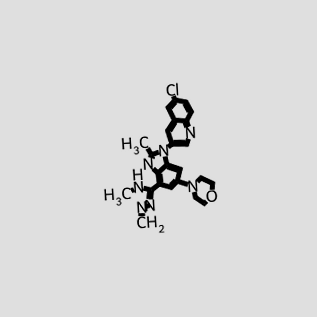 C=N/N=C(\NC)c1cc(N2CCOCC2)cc2c1nc(C)n2-c1cnc2ccc(Cl)cc2c1